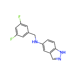 Fc1cc(F)cc(CNc2ccc3[nH]ncc3c2)c1